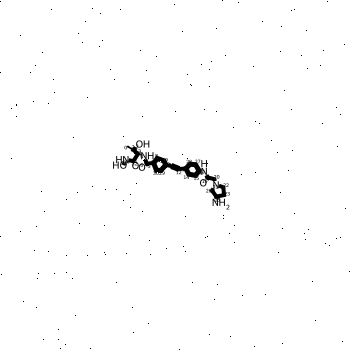 C[C@@H](O)[C@H](NC(=O)c1ccc(C#Cc2ccc(NC(=O)CN3CCC(N)C3)cc2)cc1)C(=O)NO